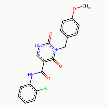 COc1ccc(Cn2c(=O)[nH]cc(C(=O)Nc3ccccc3Cl)c2=O)cc1